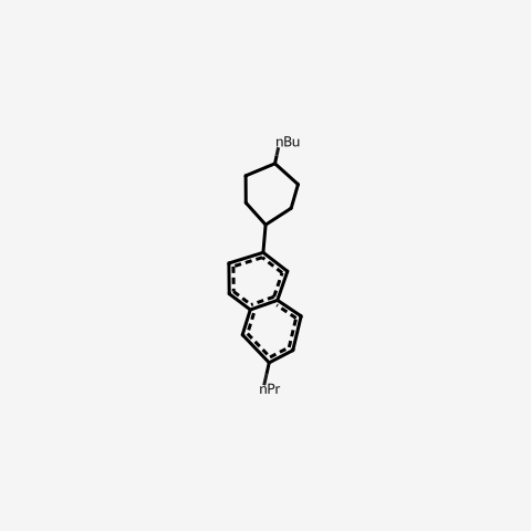 CCCCC1CCC(c2ccc3cc(CCC)ccc3c2)CC1